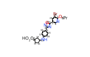 CC(C)Oc1ncc(-c2nc(-c3ccc(NC4CC[C@H](C(=O)O)C4)cc3)no2)cc1Br